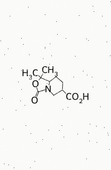 CC1(C)OC(=O)N2CC(C(=O)O)CCC21